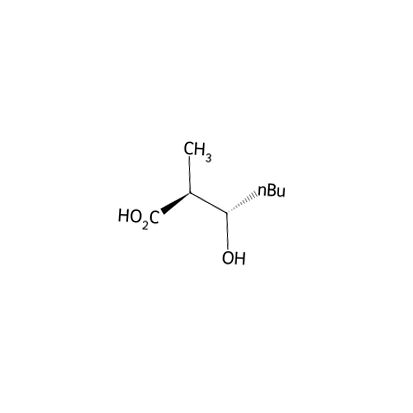 CCCC[C@H](O)[C@H](C)C(=O)O